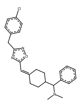 CN(C)C(c1ccccc1)C1CCC(=Cc2nc(Cc3ccc(Cl)cc3)no2)CC1